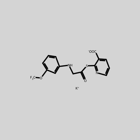 O=C(CNc1cccc(OC(F)(F)F)c1)Sc1ncccc1C(=O)[O-].[K+]